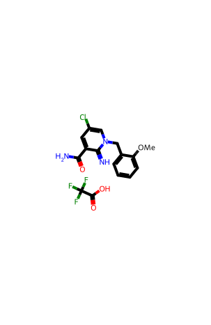 COc1ccccc1Cn1cc(Cl)cc(C(N)=O)c1=N.O=C(O)C(F)(F)F